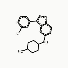 OC1CCC(Nc2ccc3ncc(-c4ccnc(Cl)c4)n3c2)CC1